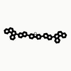 c1ccc2c(c1)ccc1cc(-c3ccc4cc(-c5ccc6c(c5)oc5cc(-c7ccc8cc(-c9cc%10ccc%11ccccc%11c%10c%10ccccc9%10)ccc8c7)ccc56)ccc4c3)c3ccccc3c12